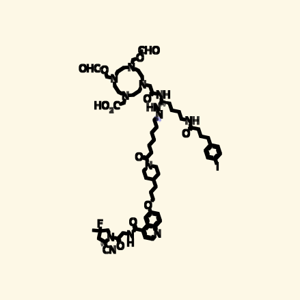 CC1(F)C[C@H](C#N)N(C(=O)CNC(=O)c2ccnc3ccc(OCCCC4CCN(C(=O)CCCCC/C=N/N[C@H](CCCCNC(=O)CCCc5ccc(I)cc5)NC(=O)CN5CCN(COC=O)CCN(COC=O)CCN(CC(=O)O)CC5)CC4)cc23)C1